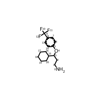 NCCC(Oc1ccc(C(F)(F)F)cc1)C1CCCCC1